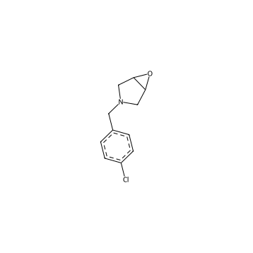 Clc1ccc(CN2CC3OC3C2)cc1